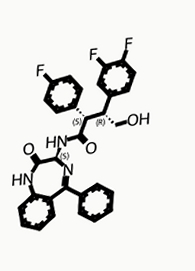 O=C1Nc2ccccc2C(c2ccccc2)=N[C@@H]1NC(=O)[C@H](c1ccc(F)cc1)[C@@H](CO)c1ccc(F)c(F)c1